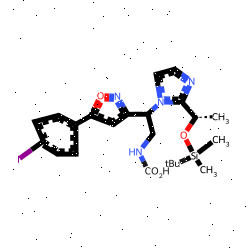 C[C@H](O[Si](C)(C)C(C)(C)C)c1nccn1C(CNC(=O)O)c1cc(-c2ccc(I)cc2)on1